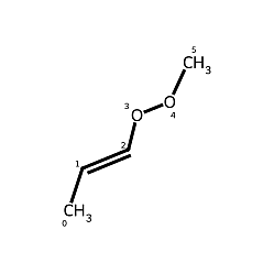 CC=COOC